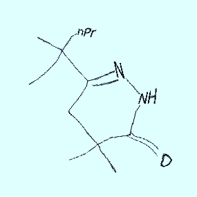 CCCC(C)(C)C1=NNC(=O)C(C)(C)C1